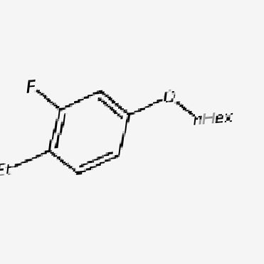 CCCCCCOc1ccc(CC)c(F)c1